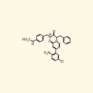 O=C(O)Nc1ccc(CNC(=O)C(Cc2ccccc2)n2ccc(-c3cc(Cl)ccc3[N+](=O)[O-])cc2=O)cc1